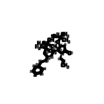 C=CC[C@H]1C(=O)C[C@@H](O[Si](C)(C)C(C)(C)C)[C@@H]1CC[C@H](CCc1ccccc1)CC(C)(C)[Si](C)(C)O